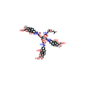 CC(C)CCOC(C)(C)CCNC(=O)COCC(COCC(=O)N/N=C1\C=C[C@@]2(C)C(=C1)CC[C@H]1[C@@H]3C[C@@H](C)[C@@]4(C(=O)CO)O[C@]34C[C@H](O)[C@@]12F)(COCC(=O)N/N=C1\C=C[C@@]2(C)C(=C1)CC[C@H]1[C@@H]3C[C@@H](C)[C@@]4(C(=O)CO)O[C@]34C[C@H](O)[C@@]12F)COCC(=O)N/N=C1\C=C[C@@]2(C)C(=C1)CC[C@H]1[C@@H]3C[C@@H](C)[C@@]4(C(=O)CO)O[C@]34C[C@H](O)[C@@]12F